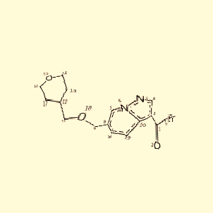 CC(C)C(=O)c1cnn2cc(COCC3CCOCC3)ccc12